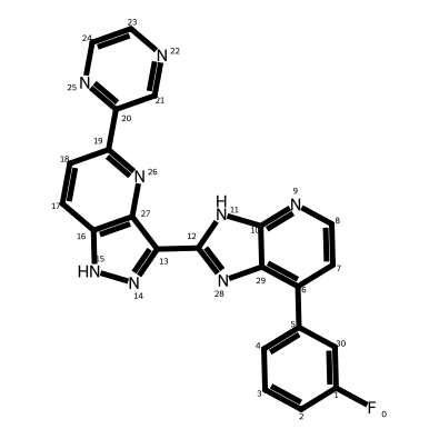 Fc1cccc(-c2ccnc3[nH]c(-c4n[nH]c5ccc(-c6cnccn6)nc45)nc23)c1